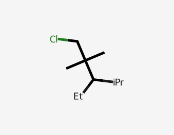 CC[C](C(C)C)C(C)(C)CCl